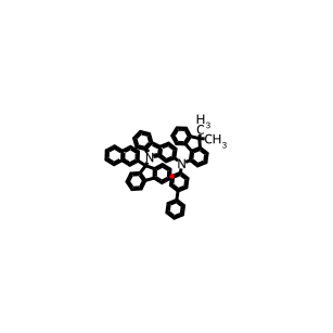 CC1(C)c2ccccc2-c2c(N(c3ccc(-c4ccccc4)cc3)c3ccc4c5ccccc5n(C5(c6ccc7ccccc7c6)c6ccccc6-c6ccccc65)c4c3)cccc21